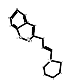 C(=CN1CCCCC1)CC1=Cc2ccccc2ON1